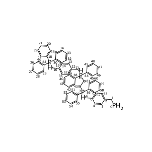 PCc1ccc(C[PH](CC[PH](Cc2ccc(C[PH](c3ccccc3)(c3ccccc3)c3ccccc3)cc2)(c2ccccc2)c2ccccc2)(c2ccccc2)c2ccccc2)cc1